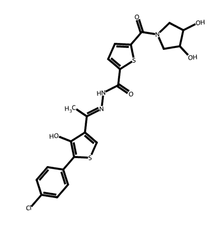 C/C(=N\NC(=O)c1ccc(C(=O)N2CC(O)C(O)C2)s1)c1csc(-c2ccc(Cl)cc2)c1O